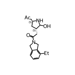 CCc1cccc2c1CN(C(=O)C[C@@H]1C[C@@H](C(C)=O)NC1O)C2